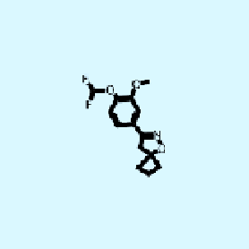 COc1cc(C2=NOC3(CCC3)C2)ccc1OC(F)F